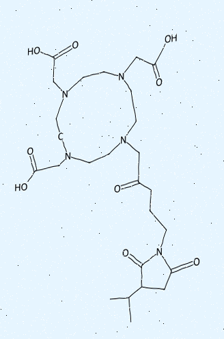 CC(C)C1CC(=O)N(CCCC(=O)CN2CCN(CC(=O)O)CCN(CC(=O)O)CCN(CC(=O)O)CC2)C1=O